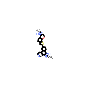 Cc1nc2c([nH]1)-c1ccc3cc(-c4ccc5c(c4)c4ccncc4c4nc(C)[nH]c54)sc3c1OC2